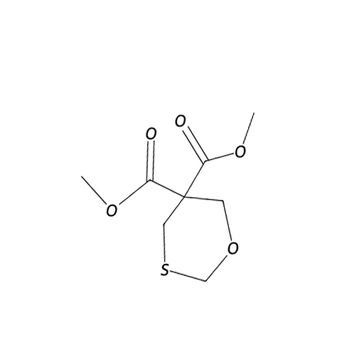 COC(=O)C1(C(=O)OC)COCSC1